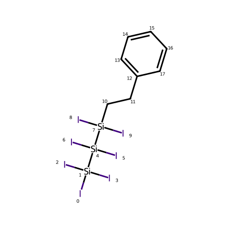 I[Si](I)(I)[Si](I)(I)[Si](I)(I)CCc1ccccc1